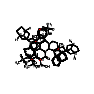 Cc1nc2ccccc2n1C1C[C@H]2CC[C@@H](C1)N2CCC1(c2ccccc2)CCN(C(=O)[C@@H](NS(C)(=O)=O)C(C)O)C(N(C(=O)[C@@H](NS(C)(=O)=O)[C@@H](C)O)C2CC(CCN3[C@@H]4CC[C@H]3CC(n3c(C)nc5ccccc53)C4)(c3ccccc3)CCN2C(=O)[C@@H](NS(C)(=O)=O)C(C)O)C1